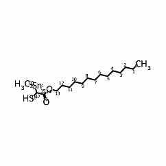 CCCCCCCCCCCCCCOC(=O)[CH](S)[Sn][CH3]